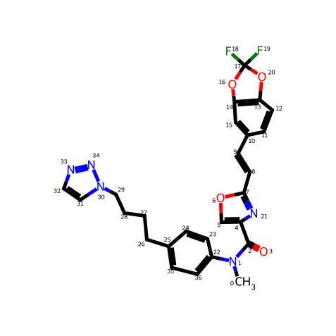 CN(C(=O)c1coc(/C=C/c2ccc3c(c2)OC(F)(F)O3)n1)c1ccc(CCCCn2ccnn2)cc1